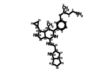 CN(CCN)Cc1cccc(C2NC(NCC3CN4CCSC4N3)C3CNN(C4CC4)C3N2C)c1